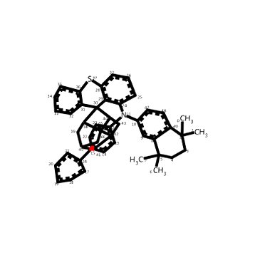 CC1(C)CCC(C)(C)c2cc(N(c3ccc(-c4ccccc4)cc3)c3cccc4c3C3(c5ccccc5S4)C4CC5CC6CC3C64C5)ccc21